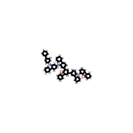 c1ccc(-c2ccc(-n3c4ccccc4c4ccc(-n5c6ccccc6c6ccc(-c7cc(-c8ccc9c(c8)c8ccccc8n9-c8cccc9c8oc8ccccc89)cc8c7oc7ccccc78)cc65)cc43)cc2)cc1